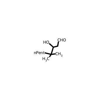 CCCCCC(C)(C)C(O)CC=O